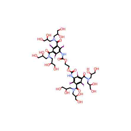 O=C(Nc1c(I)c(C(=O)N(CC(O)CO)CC(O)CO)c(I)c(C(=O)N(CC(O)CO)CC(O)CO)c1I)OCCOC(=O)Nc1c(I)c(C(=O)N(CC(O)CO)CC(O)CO)c(I)c(C(=O)N(CC(O)CO)CC(O)CO)c1I